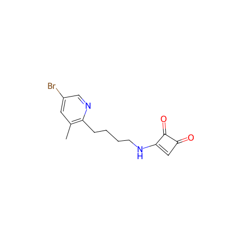 Cc1cc(Br)cnc1CCCCNc1cc(=O)c1=O